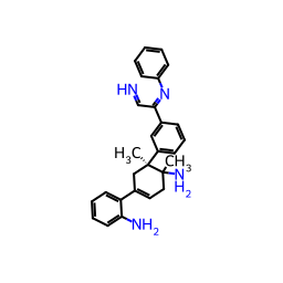 CC1(N)CC=C(c2ccccc2N)C[C@@]1(C)c1cccc(/C(C=N)=N/c2ccccc2)c1